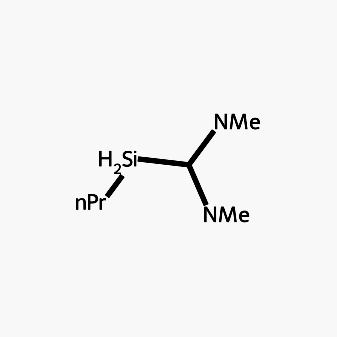 CCC[SiH2]C(NC)NC